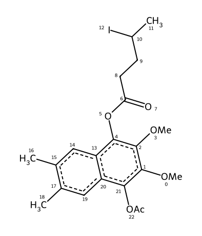 COc1c(OC)c(OC(=O)CCC(C)I)c2cc(C)c(C)cc2c1OC(C)=O